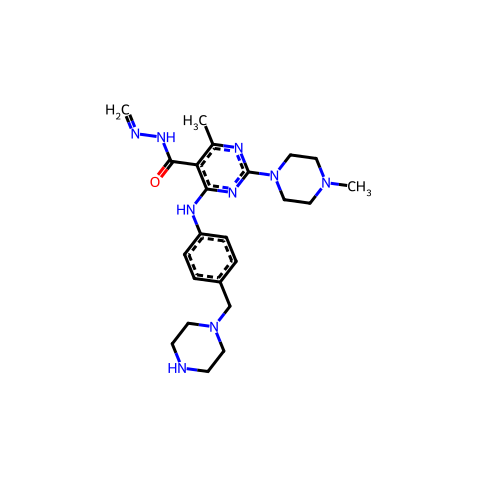 C=NNC(=O)c1c(C)nc(N2CCN(C)CC2)nc1Nc1ccc(CN2CCNCC2)cc1